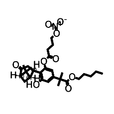 CCCCCOC(=O)C(C)(C)c1cc(O)c([C@@H]2CC(=O)[C@@H]3C[C@H]2C3(C)C)c(OC(=O)CCCO[N+](=O)[O-])c1